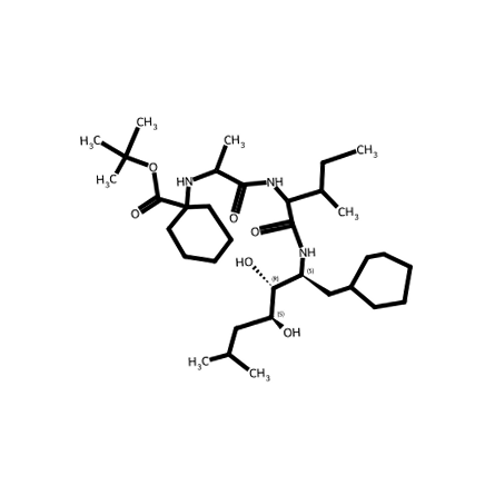 CCC(C)C(NC(=O)C(C)NC1(C(=O)OC(C)(C)C)CCCCC1)C(=O)N[C@@H](CC1CCCCC1)[C@@H](O)[C@@H](O)CC(C)C